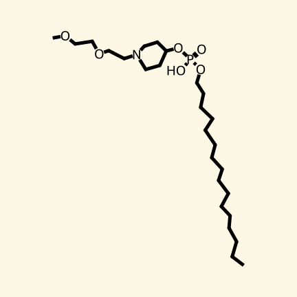 CCCCCCCCCCCCCCCCOP(=O)(O)OC1CCN(CCOCCOC)CC1